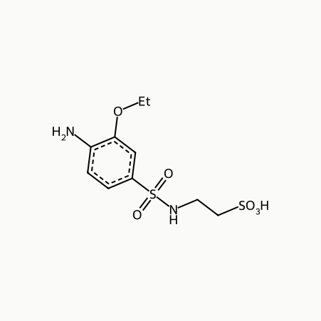 CCOc1cc(S(=O)(=O)NCCS(=O)(=O)O)ccc1N